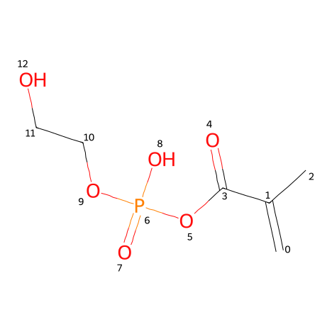 C=C(C)C(=O)OP(=O)(O)OCCO